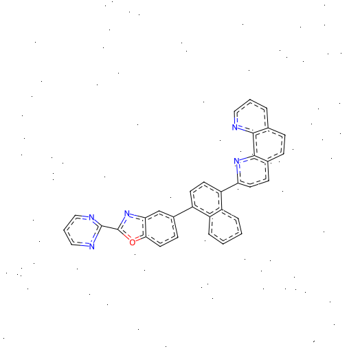 c1cnc(-c2nc3cc(-c4ccc(-c5ccc6ccc7cccnc7c6n5)c5ccccc45)ccc3o2)nc1